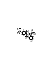 COC(=O)c1ccc(NC(=O)c2ccccc2OC(C)=O)cc1